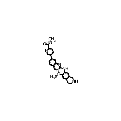 CNC(=O)c1ccc(-c2ccc3cnc(Nc4cc5c(cc4OC)CCNC5)nc3c2)cn1